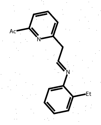 CCc1ccccc1N=CCc1cccc(C(C)=O)n1